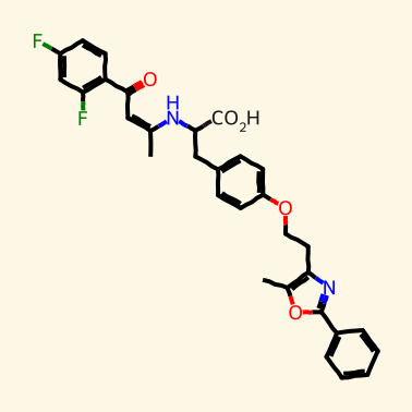 C/C(=C/C(=O)c1ccc(F)cc1F)NC(Cc1ccc(OCCc2nc(-c3ccccc3)oc2C)cc1)C(=O)O